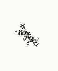 NC(C(=O)NC1C(=O)N2C(C(=O)O)=C(CSC(=O)c3nccs3)CS[C@H]12)c1cccs1